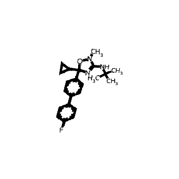 CN1OC(c2ccc(-c3ccc(F)cc3)cc2)(C2CC2)N=C1NC(C)(C)C